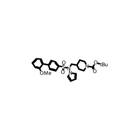 COc1ccccc1-c1ccc(S(=O)(=O)N(CC2CCN(C(=O)OC(C)(C)C)CC2)n2cccc2)cc1